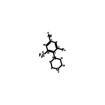 CC(=O)c1cc(F)c(N2CCOCC2)c(C(F)(F)F)c1